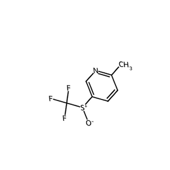 Cc1ccc([S+]([O-])C(F)(F)F)cn1